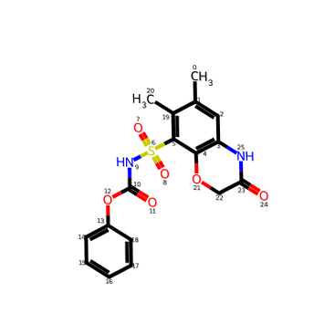 Cc1cc2c(c(S(=O)(=O)NC(=O)Oc3ccccc3)c1C)OCC(=O)N2